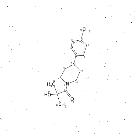 Cc1ccc(N2CCN(C(=O)C(C)(C)O)CC2)cc1